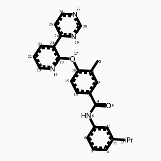 Cc1cc(C(=O)Nc2cccc(C(C)C)c2)ccc1Oc1ncccc1-c1ccncn1